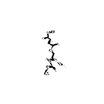 COC(=O)/C=C/C(=O)OC[C@H](C)NC(=O)OC(C)(C)C